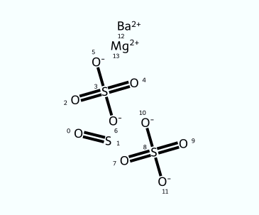 O=S.O=S(=O)([O-])[O-].O=S(=O)([O-])[O-].[Ba+2].[Mg+2]